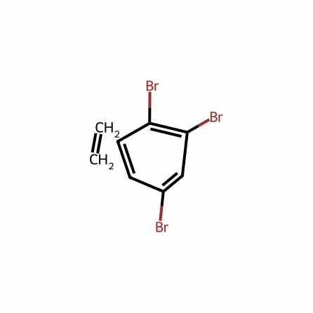 Brc1ccc(Br)c(Br)c1.C=C